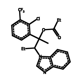 CCC(=O)OC(C)(c1cccc(C(F)(F)F)c1Cl)C(CC)n1cnc2ccccc21